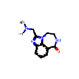 CCCN(CCC)Cc1nc2cccc3c2n1CCNC3=O